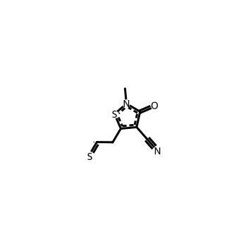 Cn1sc(C[C]=S)c(C#N)c1=O